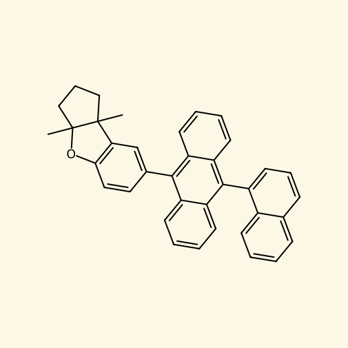 CC12CCCC1(C)c1cc(-c3c4ccccc4c(-c4cccc5ccccc45)c4ccccc34)ccc1O2